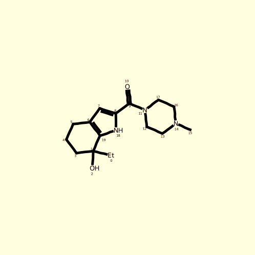 CCC1(O)CCCc2cc(C(=O)N3CCN(C)CC3)[nH]c21